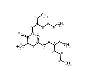 [CH2]C(CC(=O)OCC(CC)CCCC)C(=O)OCC(CC)CCCC